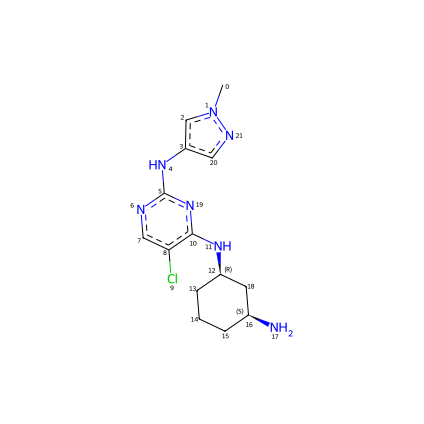 Cn1cc(Nc2ncc(Cl)c(N[C@@H]3CCC[C@H](N)C3)n2)cn1